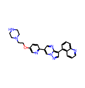 c1cc(-c2cnn3cc(-c4ccc(OCCN5CCNCC5)cn4)cnc23)c2cccnc2c1